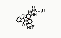 Cl.O=C(O)Nc1nc2cc(C3(O)c4ccccc4C(=O)N3c3cccc(Br)c3F)ccc2[nH]1